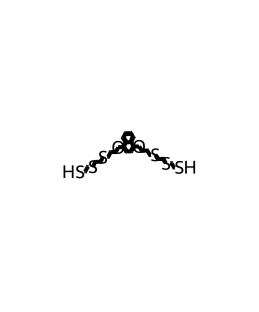 SCCSCCSCCCOc1ccc(OCCCSCCSCCS)c2ccccc12